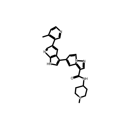 Cc1ccncc1-c1cnc2[nH]cc(-c3ccn4ncc(C(=O)NC5CCN(C)CC5)c4c3)c2c1